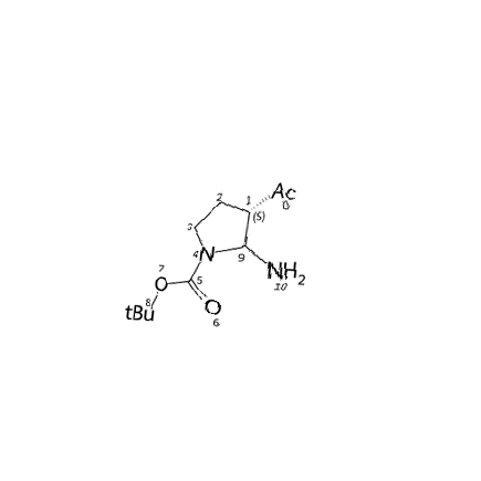 CC(=O)[C@H]1CCN(C(=O)OC(C)(C)C)C1N